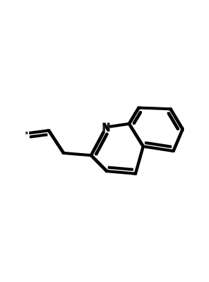 [CH]=CCc1ccc2ccccc2n1